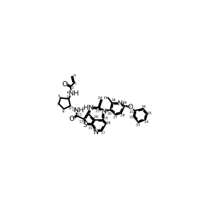 C=CC(=O)NC1CCC[C@H]1NC(=O)c1sc2nccc3c2c1[nH]c(=C)n3-c1ccc(Oc2ccccc2)nc1C